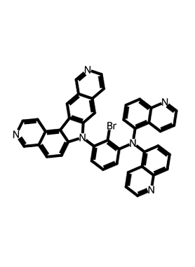 Brc1c(N(c2cccc3ncccc23)c2cccc3ncccc23)cccc1-n1c2cc3ccncc3cc2c2c3ccncc3ccc21